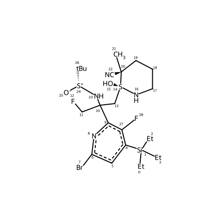 CC[Si](CC)(CC)c1cc(Br)nc(C(CF)(C[S@@]2(O)NCCC[C@]2(C)C#N)N[S@+]([O-])C(C)(C)C)c1F